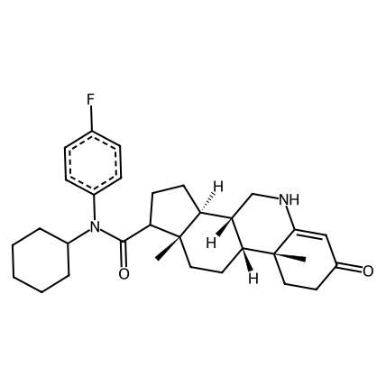 C[C@]12CCC(=O)C=C1NC[C@@H]1[C@H]2CC[C@]2(C)C(C(=O)N(c3ccc(F)cc3)C3CCCCC3)CC[C@@H]12